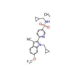 C[C@H](NS(=O)(=O)c1ccc(-c2c(C#N)c3ccc(OC(F)(F)F)cc3n2CC2CC2)nc1)C1CC1